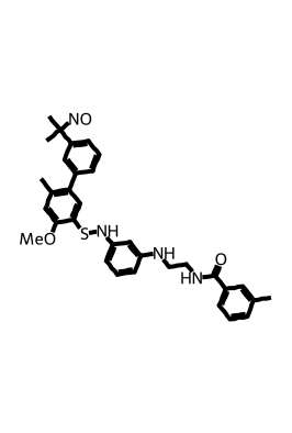 COc1cc(C)c(-c2cccc(C(C)(C)N=O)c2)cc1SNc1cccc(NCCNC(=O)c2cccc(C)c2)c1